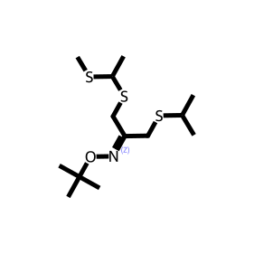 CSC(C)SC/C(CSC(C)C)=N\OC(C)(C)C